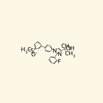 C[S@+]([O-])c1cccc(-c2ccc(-n3cc(C(C)(C)O)nc3-c3ccccc3F)cc2)c1